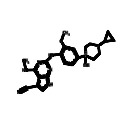 CNc1nc(Nc2ccc([PH]3(O)CCN(C4CC4)CC3)cc2OC)nc2[nH]cc(C#N)c12